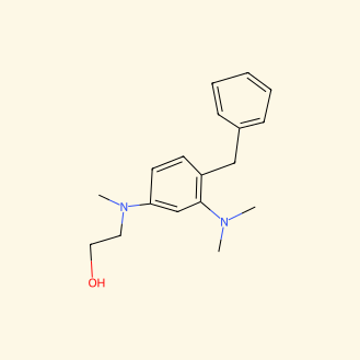 CN(C)c1cc(N(C)CCO)ccc1Cc1ccccc1